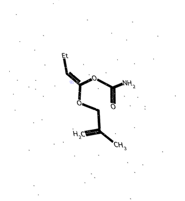 C=C(C)CO/C(=C/CC)OC(N)=O